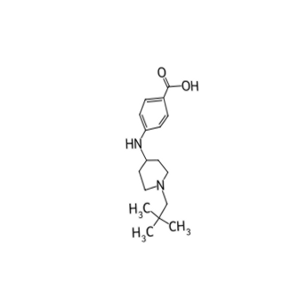 CC(C)(C)CN1CCC(Nc2ccc(C(=O)O)cc2)CC1